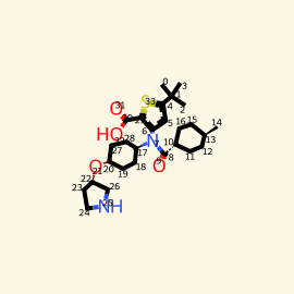 CC(C)(C)c1cc(N(C(=O)[C@H]2CC[C@H](C)CC2)[C@H]2CC[C@H](O[C@H]3CCNC3)CC2)c(C(=O)O)s1